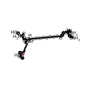 CO[C@@H](C[C@@H]1CCC[C@](O)(C(=O)C(=O)N2CCCCC2)O1)/C(C)=C/C=C/C=C/[C@@H](C)CC(C)C(=O)[C@H](O)[C@H](OC(=O)NCCOCCOCCOCCOCCOCCOCCOCCOCCC(=O)N1CCc2cc(Cn3nc(-c4ccc5oc(N)nc5c4)c4c(N)ncnc43)ccc2C1)/C(C)=C/[C@@H](C)C(=O)C[C@H](OC=O)[C@H](N)C[C@H]1CC[C@H](O)CC1